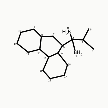 BC(B)(C(C)C)C1CC2CCCCC2C2CCCCC21